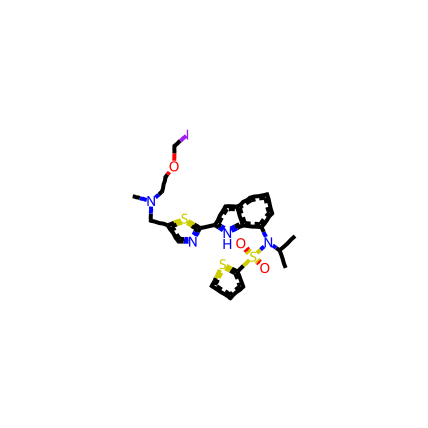 CC(C)N(c1cccc2cc(-c3ncc(CN(C)CCOCI)s3)[nH]c12)S(=O)(=O)c1cccs1